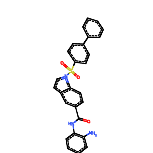 Nc1ccccc1NC(=O)c1ccc2c(ccn2S(=O)(=O)c2ccc(-c3ccccc3)cc2)c1